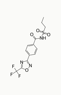 CCCS(=O)(=O)NC(=O)c1ccc(-c2noc(C(F)(F)F)n2)cc1